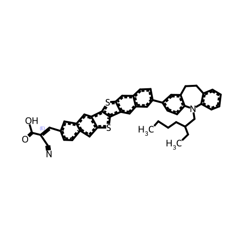 CCCCC(CC)CN1c2ccccc2CCc2cc(-c3ccc4cc5sc6c7cc8cc(/C=C(\C#N)C(=O)O)ccc8cc7sc6c5cc4c3)ccc21